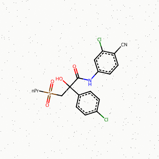 CCCS(=O)(=O)CC(O)(C(=O)Nc1ccc(C#N)c(Cl)c1)c1ccc(Cl)cc1